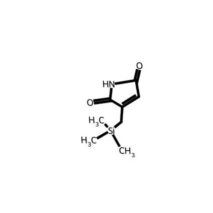 C[Si](C)(C)CC1=CC(=O)NC1=O